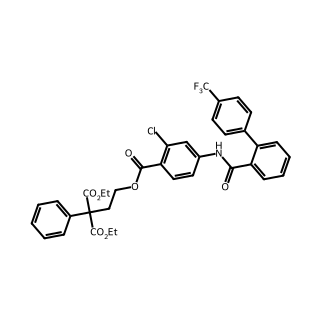 CCOC(=O)C(CCOC(=O)c1ccc(NC(=O)c2ccccc2-c2ccc(C(F)(F)F)cc2)cc1Cl)(C(=O)OCC)c1ccccc1